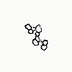 CC1CCCCCc2cc3c(cc2N1c1cccc2c1C=CCC2)C1CCCCC1N3C1C=CC=C2CCCCC21C